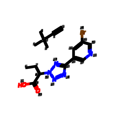 C#C[Si](C)(C)C.CCC(C(=O)O)n1nnc(-c2cncc(Br)c2)n1